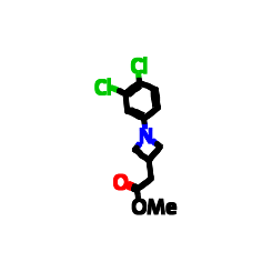 COC(=O)CC1CN(c2ccc(Cl)c(Cl)c2)C1